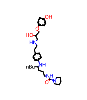 CCCCC(CCCNC(=O)N1CCCCC1)Nc1ccc(CCNCC(O)COc2ccc(O)cc2)cc1